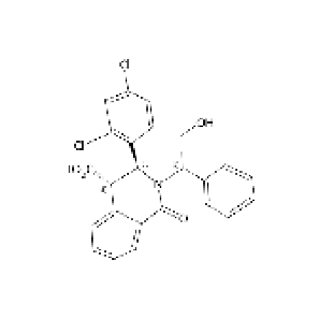 O=C(O)[C@H]1c2ccccc2C(=O)N([C@H](CO)c2ccccc2)[C@@H]1c1ccc(Cl)cc1Cl